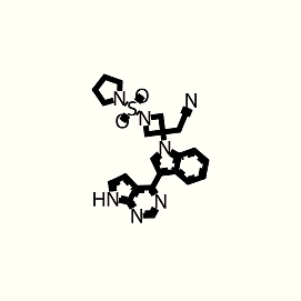 N#CCC1(n2cc(-c3ncnc4[nH]ccc34)c3ccccc32)CN(S(=O)(=O)N2CCCC2)C1